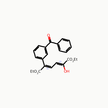 CCOC(=O)/C(O)=C/C=C(/C(=O)OCC)c1cccc(C(=O)c2ccccc2)c1